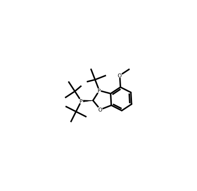 COc1cccc2c1P(C(C)(C)C)[C@H](P(C(C)(C)C)C(C)(C)C)O2